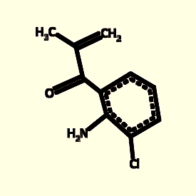 C=C(C)C(=O)c1cccc(Cl)c1N